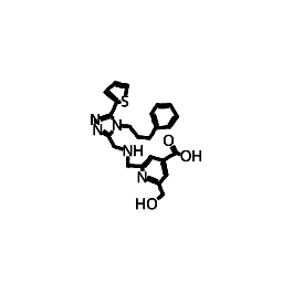 O=C(O)c1cc(CO)nc(CNCc2nnc(-c3cccs3)n2CCCc2ccccc2)c1